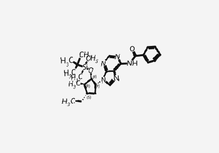 CC[C@H]1C[C@@H](n2cnc3c(NC(=O)c4ccccc4)ncnc32)[C@H](O[Si](C)(C)C(C)(C)C)[C@@H]1C